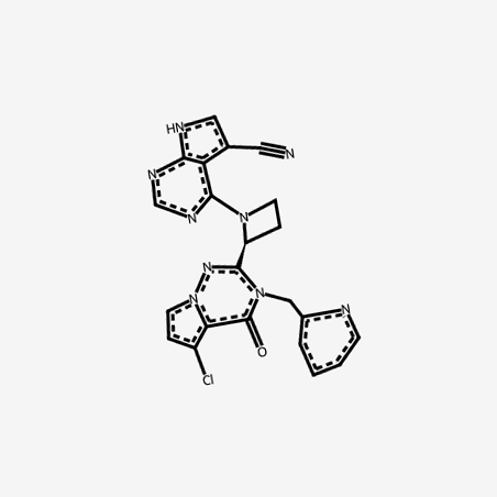 N#Cc1c[nH]c2ncnc(N3CC[C@H]3c3nn4ccc(Cl)c4c(=O)n3Cc3ccccn3)c12